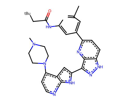 C=C(C)/C=C(\C=C(/C)NC(=O)CC(C)(C)C)c1ccc2[nH]nc(-c3cc4c(N5CCN(C)CC5)ccnc4[nH]3)c2n1